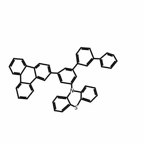 c1ccc(-c2cccc(-c3cc(-c4ccc5c6ccccc6c6ccccc6c5c4)cc(N4c5ccccc5Sc5ccccc54)c3)c2)cc1